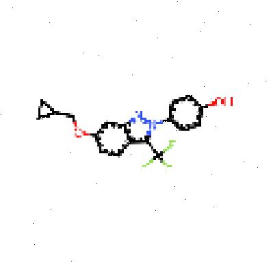 Oc1ccc(-n2nc3cc(OCC4CC4)ccc3c2C(F)(F)F)cc1